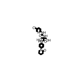 O=C(Nc1ccc(Cl)cn1)NC(CO)(CO)C(=O)Nc1ccc(N2CCCCC2=O)cc1